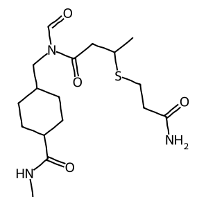 CNC(=O)C1CCC(CN(C=O)C(=O)CC(C)SCCC(N)=O)CC1